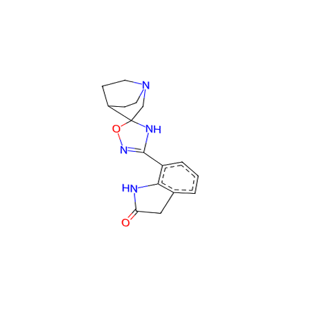 O=C1Cc2cccc(C3=NOC4(CN5CCC4CC5)N3)c2N1